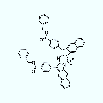 O=C(OCc1ccccc1)c1ccc(C2=c3cc4ccccc4cc3=[N+]3C2=Nc2c(-c4ccc(C(=O)OCc5ccccc5)cc4)c4cc5ccccc5cc4n2[N+]3(F)F)cc1